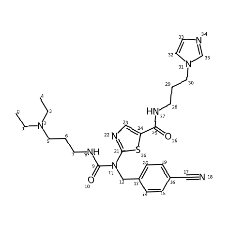 CCN(CC)CCCNC(=O)N(Cc1ccc(C#N)cc1)c1ncc(C(=O)NCCCn2ccnc2)s1